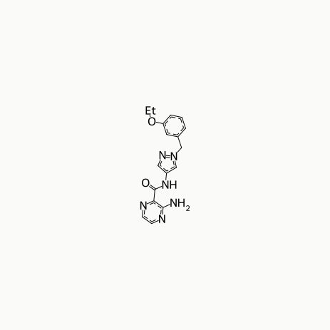 CCOc1cccc(Cn2cc(NC(=O)c3nccnc3N)cn2)c1